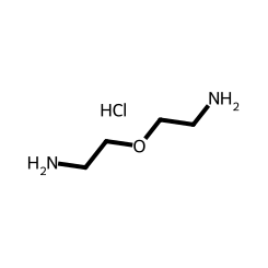 Cl.NCCOCCN